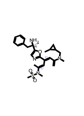 C=C(/C=C(\C=C(/C)N(C)S(C)(=O)=O)c1ncc([C@](C)(N)Cc2ccccc2)o1)N(C)CC1CC1C